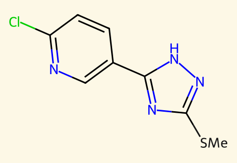 CSc1n[nH]c(-c2ccc(Cl)nc2)n1